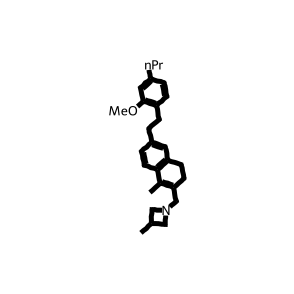 CCCc1ccc(CCc2ccc3c(c2)CCC(CN2CC(C)C2)=C3C)c(OC)c1